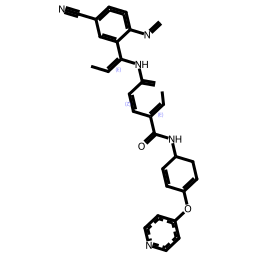 C=NC1=C=C=C(C#N)C=C1/C(=C\C)NC(=C)/C=C\C(=C/C)C(=O)NC1C=CC(Oc2ccncc2)=CC1